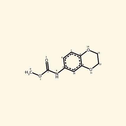 [CH2]OC(=O)Nc1ccc2c(c1)OCCO2